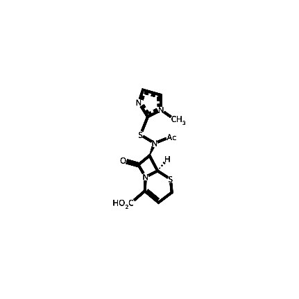 CC(=O)N(Sc1nccn1C)[C@@H]1C(=O)N2C(C(=O)O)=CCS[C@H]12